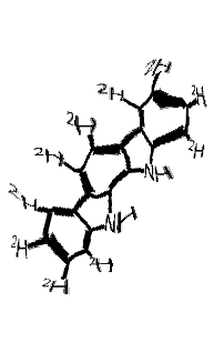 [2H]c1c([2H])c([2H])c2c([nH]c3c4[nH]c5c([2H])c([2H])c([2H])c([2H])c5c4c([2H])c([2H])c32)c1[2H]